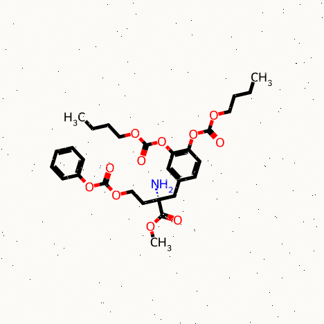 CCCCOC(=O)Oc1ccc(C[C@](N)(CCOC(=O)Oc2ccccc2)C(=O)OC)cc1OC(=O)OCCCC